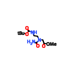 COC(=O)CN(CCNC(=O)OC(C)(C)C)C(N)=O